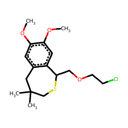 COc1cc2c(cc1OC)C(COCCCl)SCC(C)(C)C2